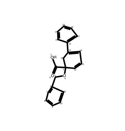 O=C(O)C1(OCc2ccccc2)C=CC=C(c2ccccc2)C1